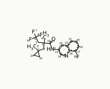 CC1(CC(C)(CC(F)(F)F)C(=O)Nc2cnc3c(F)cccc3c2)CC1